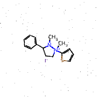 CN1C(c2ccccc2)CC[N+]1(C)c1cccs1.[I-]